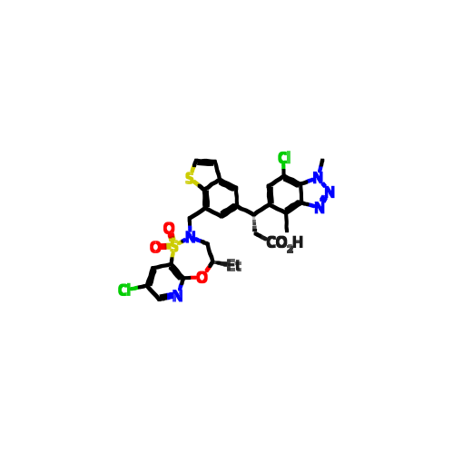 CC[C@@H]1CN(Cc2cc([C@@H](CC(=O)O)c3cc(Cl)c4c(nnn4C)c3C)cc3ccsc23)S(=O)(=O)c2cc(Cl)cnc2O1